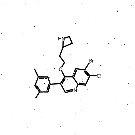 Cc1cc(C)cc(-c2cnc3cc(Cl)c(Br)cc3c2OCCC2CCN2)c1